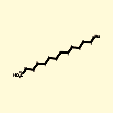 CCC(C)CCCC/C=C/CCCCCCC(=O)O